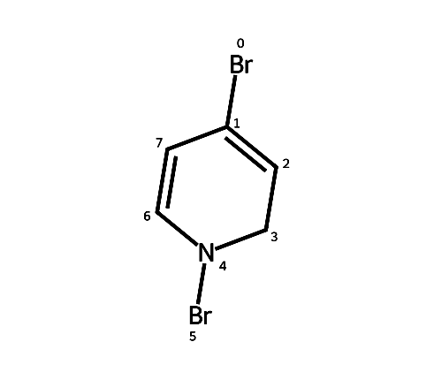 BrC1=CCN(Br)C=C1